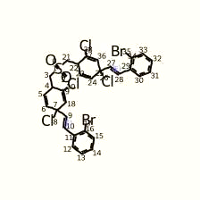 O=S(=O)(CC1C=CC(Cl)(/C=C/c2ccccc2Br)C=C1Cl)CC1C=CC(Cl)(/C=C/c2ccccc2Br)C=C1Cl